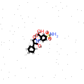 NS(=O)(=O)c1ccc(N2C(=O)CC(c3ccccc3)C2=O)c(C(=O)O)c1